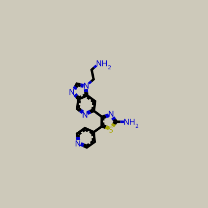 NCCn1cnc2cnc(-c3nc(N)sc3-c3ccncc3)cc21